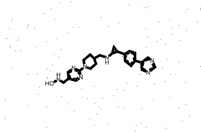 ONCc1cnc(N2CCC(CNC3CC3c3ccc(-c4cncnc4)cc3)CC2)nc1